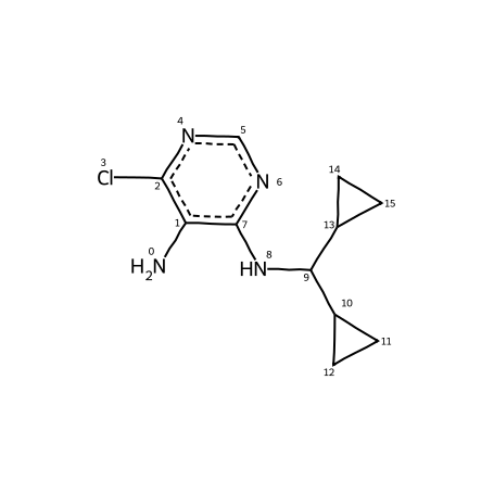 Nc1c(Cl)ncnc1NC(C1CC1)C1CC1